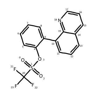 O=S(=O)(Oc1ccccc1-c1cccc2cccnc12)C(F)(F)F